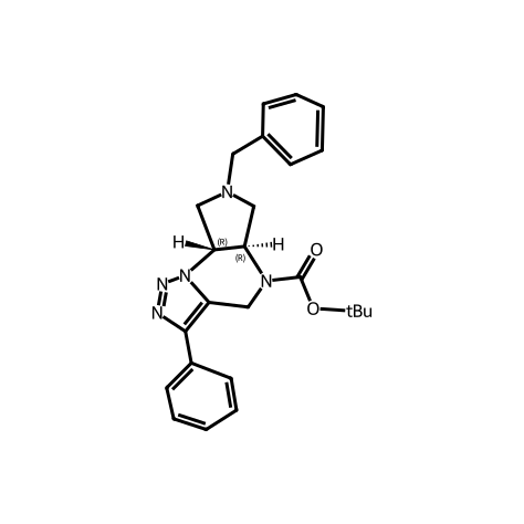 CC(C)(C)OC(=O)N1Cc2c(-c3ccccc3)nnn2[C@@H]2CN(Cc3ccccc3)C[C@H]21